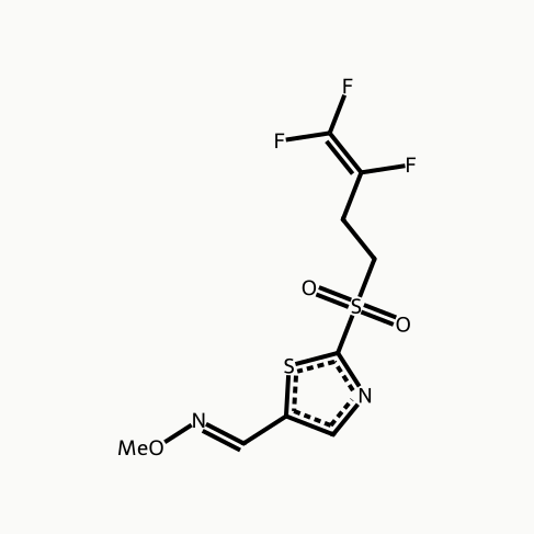 CO/N=C/c1cnc(S(=O)(=O)CCC(F)=C(F)F)s1